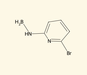 BNc1cccc(Br)n1